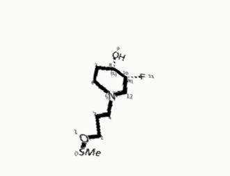 CSOCCCN1CC[C@H](O)[C@H](F)C1